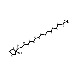 CCCCCCCCCCCCCCCCNC1(O)CCCC1